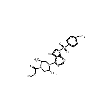 Cc1ccc(S(=O)(=O)n2cc(I)c3c(N4C[C@H](C)N(C(=O)OC(C)(C)C)C[C@H]4C)ncnc32)cc1